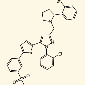 CS(=O)(=O)c1cccc(-c2ccc(-c3cc(CN4CCCC4c4ccccc4Br)nn3-c3ccccc3Cl)s2)c1